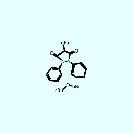 CCCCC1C(=O)N(c2ccccc2)N(c2ccccc2)C1=O.CCCCOCCCC